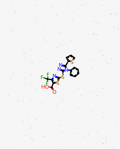 O=C(O)c1sc(Sc2nnc(-c3cccs3)n2-c2ccccc2)nc1C(F)(F)F